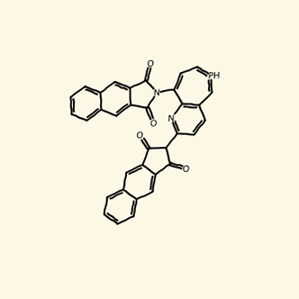 O=C1c2cc3ccccc3cc2C(=O)C1c1ccc2c(n1)C(N1C(=O)c3cc4ccccc4cc3C1=O)=CC=[PH]=C2